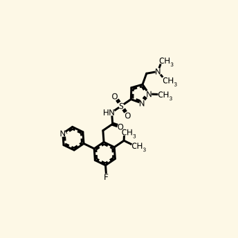 CC(C)c1cc(F)cc(-c2ccncc2)c1CC(=O)NS(=O)(=O)c1cc(CN(C)C)n(C)n1